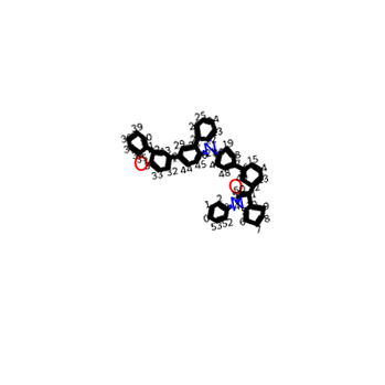 c1ccc(-n2c3ccccc3c3c4cccc(-c5ccc(-n6c7ccccc7c7cc(-c8ccc9oc%10ccccc%10c9c8)ccc76)cc5)c4oc32)cc1